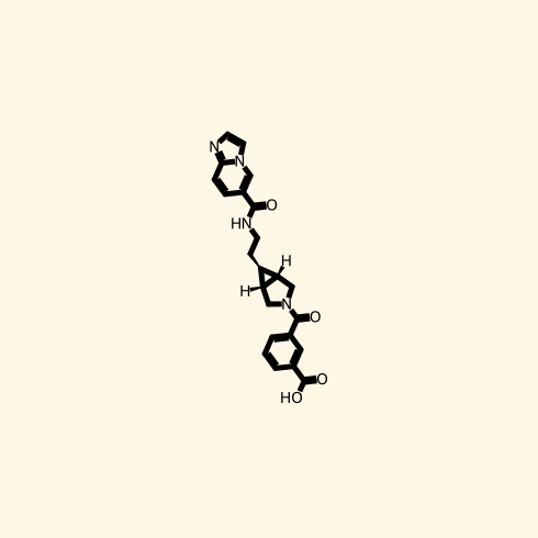 O=C(O)c1cccc(C(=O)N2C[C@@H]3[C@@H](CCNC(=O)c4ccc5nccn5c4)[C@@H]3C2)c1